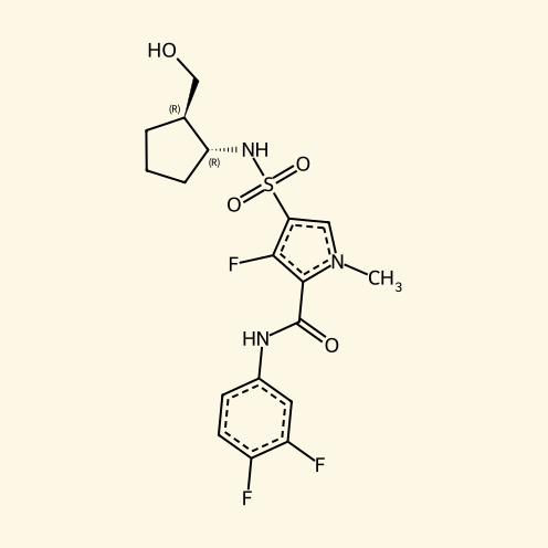 Cn1cc(S(=O)(=O)N[C@@H]2CCC[C@H]2CO)c(F)c1C(=O)Nc1ccc(F)c(F)c1